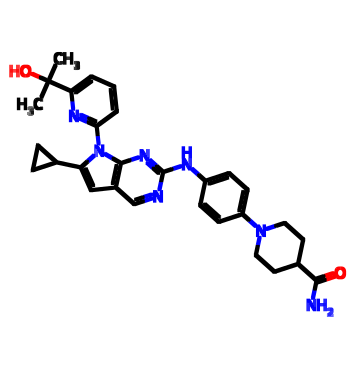 CC(C)(O)c1cccc(-n2c(C3CC3)cc3cnc(Nc4ccc(N5CCC(C(N)=O)CC5)cc4)nc32)n1